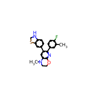 Cc1cc(-c2nc3c(cc2-c2ccc4c(c2)SCN4)N(C)CCO3)ccc1F